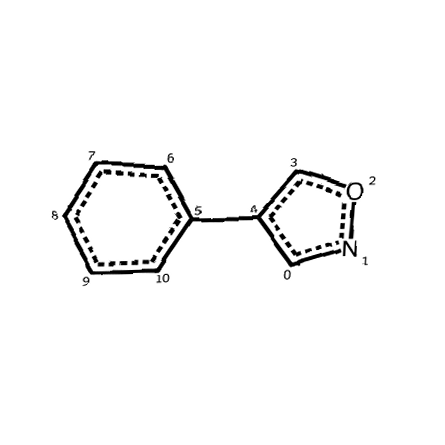 [c]1nocc1-c1ccccc1